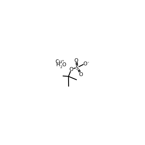 CC(C)(C)OS(=O)(=O)[O-].O.[Cu+]